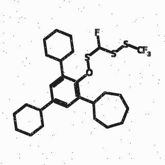 FC(SOc1c(C2CCCCCC2)cc(C2CCCCC2)cc1C1CCCCC1)SSC(F)(F)F